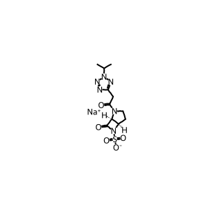 CC(C)n1nnc(CC(=O)N2CC[C@@H]3[C@H]2C(=O)N3S(=O)(=O)[O-])n1.[Na+]